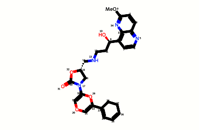 COc1ccc2nccc([C@H](O)CCNC[C@@H]3CN(C4=COC=C(C5=CC=CCC5)O4)C(=O)O3)c2n1